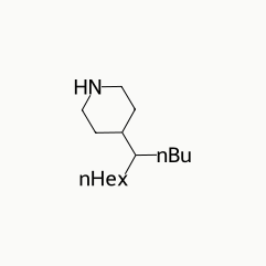 CCCCCCC(CCCC)C1CCNCC1